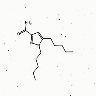 CCCCCc1cc(C(N)=O)nn1CCCCC